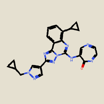 O=c1nccncc1Nc1nc2c(C3CC3)cccc2c2nc(-c3cnn(CC4CC4)c3)nn12